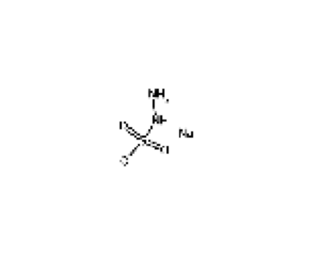 NNS(=O)(=O)[O-].[Na+]